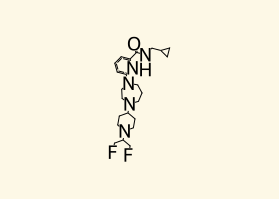 O=C(NCC1CC1)c1cccc(N2CCCN(C3CCN(C(CF)CF)CC3)CC2)n1